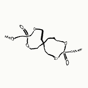 COP1(=O)OCC2(CO1)COP(=O)(OC)OC2